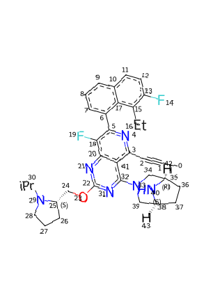 CC#Cc1nc(-c2cccc3ccc(F)c(CC)c23)c(F)c2nc(OC[C@@H]3CCCN3C(C)C)nc(N3C[C@H]4CC[C@@H](C3)N4)c12